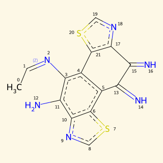 C/C=N\c1c2c(c3scnc3c1N)C(=N)C(=N)c1ncsc1-2